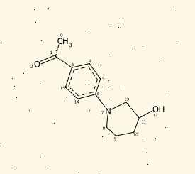 CC(=O)c1ccc(N2CCCC(O)C2)cc1